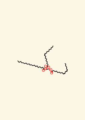 CCCCC/C=C\C/C=C\CCCCCCCC(=O)OC[C@H](COC(=O)CCCCCCCCCCCCCCCCCCC)OC(=O)CCCCCCC/C=C\CCCCCCCC